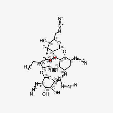 CC[C@H]1O[C@@H](O[C@@H]2[C@@H](O)[C@H](N=[N+]=[N-])C[C@H](N=[N+]=[N-])[C@H]2O[C@H]2O[C@H](CN=[N+]=[N-])[C@@H](O)C(F)(F)[C@H]2N=[N+]=[N-])[C@H](O)[C@@H]1O[C@H]1O[C@@H](CN=[N+]=[N-])[C@@H](O)[C@H](O)[C@H]1N=[N+]=[N-]